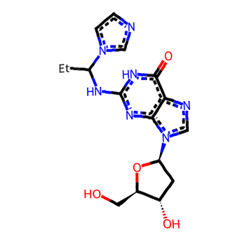 CCC(Nc1nc2c(ncn2[C@H]2C[C@H](O)[C@@H](CO)O2)c(=O)[nH]1)n1ccnc1